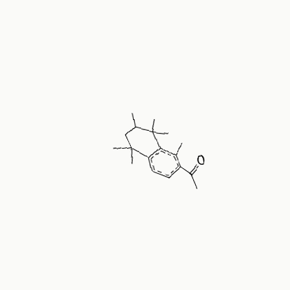 CC(=O)c1ccc2c(c1C)C(C)(C)C(C)CC2(C)C